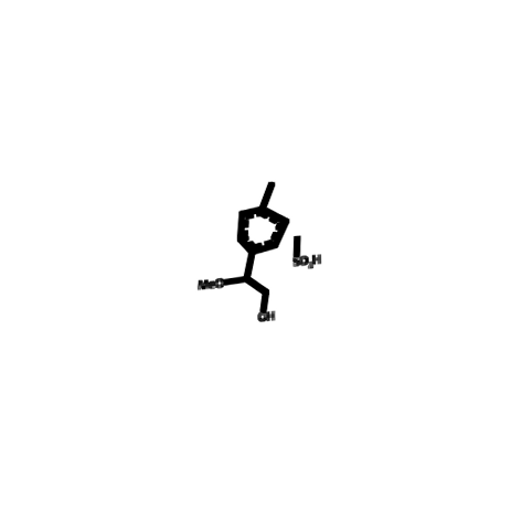 COC(CO)c1ccc(C)cc1.CS(=O)(=O)O